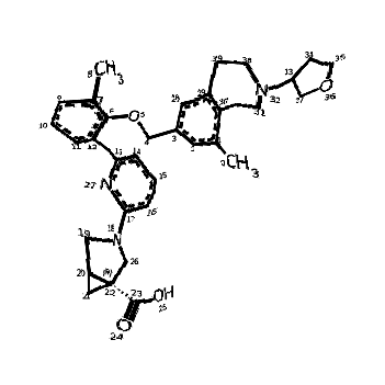 Cc1cc(COc2c(C)cccc2-c2cccc(N3CC4C[C@]4(C(=O)O)C3)n2)cc2c1CN(C1CCOC1)CC2